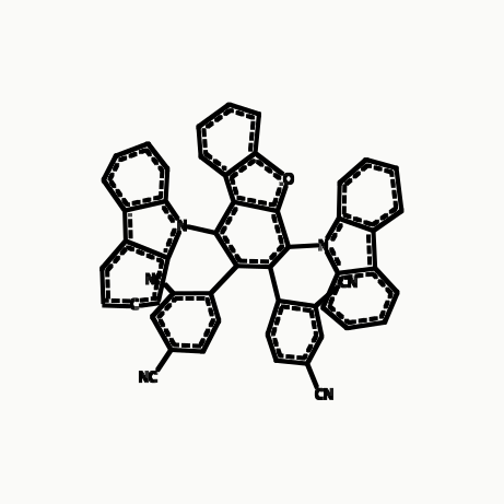 N#Cc1ccc(-c2c(-c3ccc(C#N)cc3C#N)c(-n3c4ccccc4c4ccccc43)c3c(oc4ccccc43)c2-n2c3ccccc3c3ccccc32)c(C#N)c1